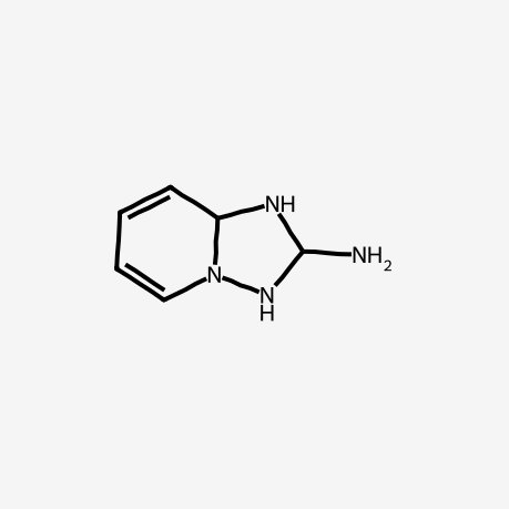 NC1NC2C=CC=CN2N1